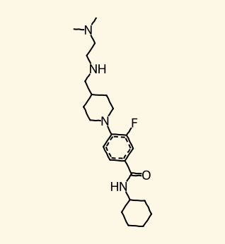 CN(C)CCNCC1CCN(c2ccc(C(=O)NC3CCCCC3)cc2F)CC1